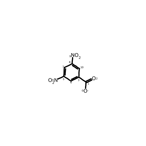 [O]C(=O)c1cc([N+](=O)[O-])cc([N+](=O)[O-])c1